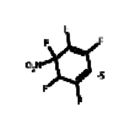 O=[N+]([O-])C1(F)C(F)=C(F)C=C(F)C1F.[S]